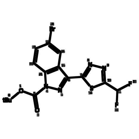 CC(C)(C)OC(=O)n1nc(-c2nnc(C(F)F)s2)c2cc(Br)ccc21